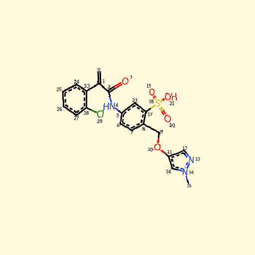 C=C(C(=O)Nc1ccc(COc2cnn(C)c2)c(S(=O)(=O)O)c1)c1ccccc1Cl